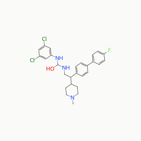 CN1CCC(C(CNC(O)Nc2cc(Cl)cc(Cl)c2)c2ccc(-c3ccc(F)cc3)cc2)CC1